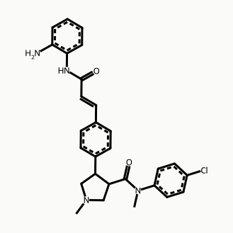 CN1CC(C(=O)N(C)c2ccc(Cl)cc2)C(c2ccc(/C=C/C(=O)Nc3ccccc3N)cc2)C1